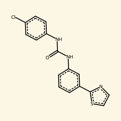 O=C(Nc1ccc(Cl)cc1)Nc1cccc(-c2nccs2)c1